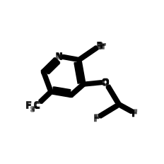 FC(F)Oc1cc(C(F)(F)F)cnc1Br